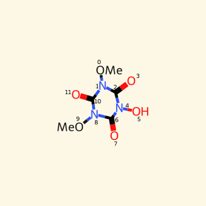 COn1c(=O)n(O)c(=O)n(OC)c1=O